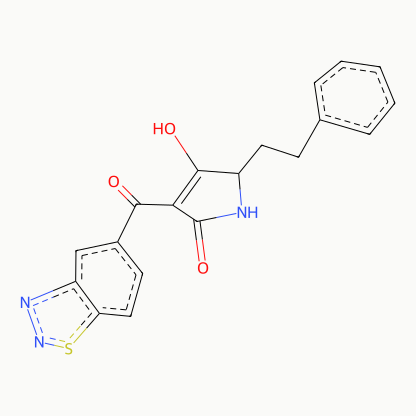 O=C1NC(CCc2ccccc2)C(O)=C1C(=O)c1ccc2snnc2c1